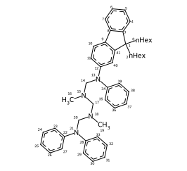 CCCCCCC1(CCCCCC)c2ccccc2-c2ccc(N(CN(C)CN(C)CN(c3ccccc3)c3ccccc3)c3ccccc3)cc21